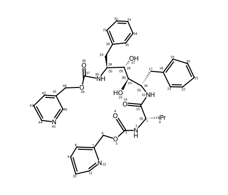 CC(C)[C@H](NC(=O)OCc1ccccn1)C(=O)N[C@@H](Cc1ccccc1)[C@@H](O)[C@@H](O)[C@H](Cc1ccccc1)NC(=O)OCc1cccnc1